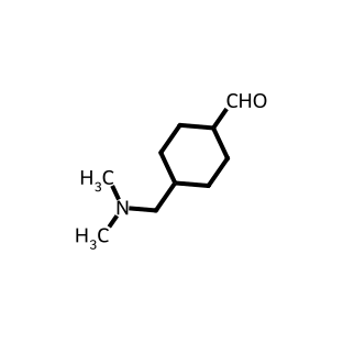 CN(C)CC1CCC(C=O)CC1